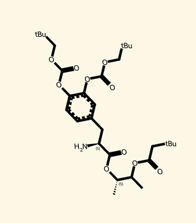 CC(OC(=O)CC(C)(C)C)[C@H](C)OC(=O)[C@@H](N)Cc1ccc(OC(=O)OCC(C)(C)C)c(OC(=O)OCC(C)(C)C)c1